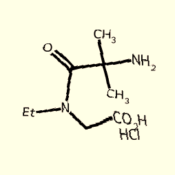 CCN(CC(=O)O)C(=O)C(C)(C)N.Cl